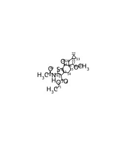 CCOC(=O)c1c(NC(C)=O)sc2c1CCC(COC)(CC1CC1)C2=O